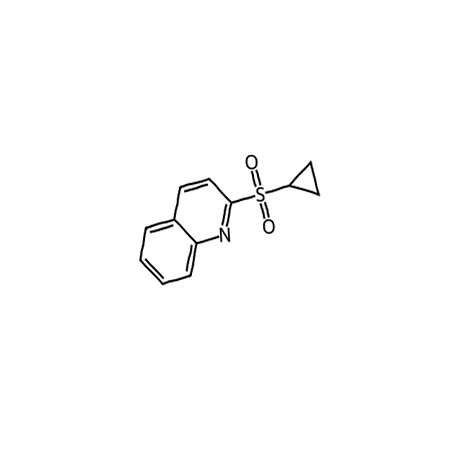 O=S(=O)(c1ccc2ccccc2n1)C1CC1